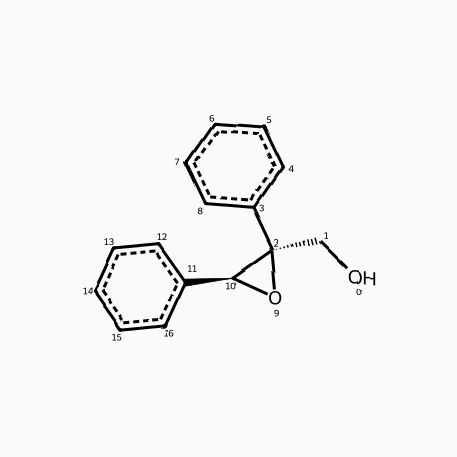 OC[C@]1(c2ccccc2)O[C@H]1c1ccccc1